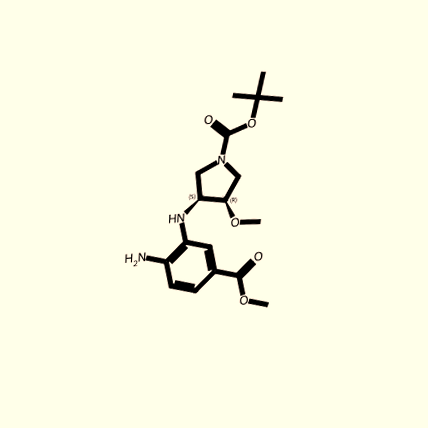 COC(=O)c1ccc(N)c(N[C@H]2CN(C(=O)OC(C)(C)C)C[C@H]2OC)c1